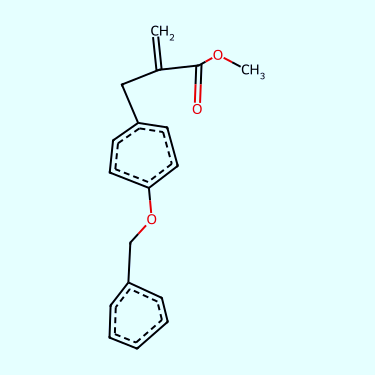 C=C(Cc1ccc(OCc2ccccc2)cc1)C(=O)OC